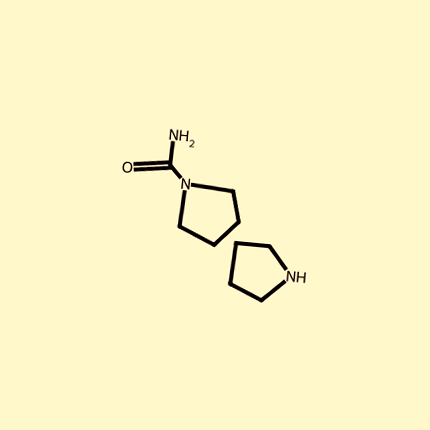 C1CCNC1.NC(=O)N1CCCC1